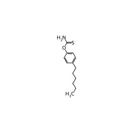 CCCCCCc1ccc(OC(N)=S)cc1